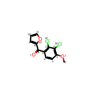 COc1ccc(C(=O)c2ccco2)c(Cl)c1Cl